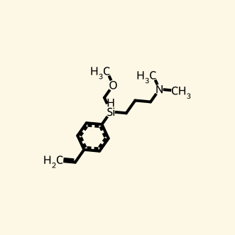 C=Cc1ccc([SiH](CCCN(C)C)COC)cc1